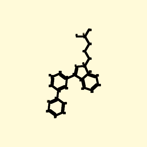 CN(C)CCCn1cc(-c2cncc(-c3ccccc3)c2)c2ccccc21